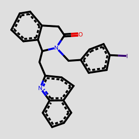 O=C1Cc2ccccc2C(Cc2ccc3ccccc3n2)N1Cc1ccc(I)cc1